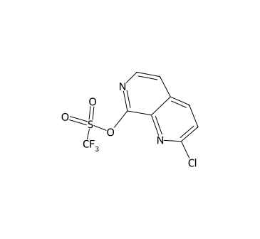 O=S(=O)(Oc1nccc2ccc(Cl)nc12)C(F)(F)F